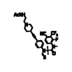 CC(=O)NCCN1CCC(C#Cc2ccc(N(C=S)C(C)(C)C(=O)N(C)c3ccc(C#N)c(C(F)(F)F)c3F)cc2)CC1